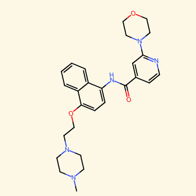 CN1CCN(CCOc2ccc(NC(=O)c3ccnc(N4CCOCC4)c3)c3ccccc23)CC1